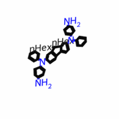 CCCCCCC1(CCCCCC)c2cc(N(c3ccccc3)c3ccc(N)cc3)ccc2-c2ccc(N(c3ccccc3)c3ccc(N)cc3)cc21